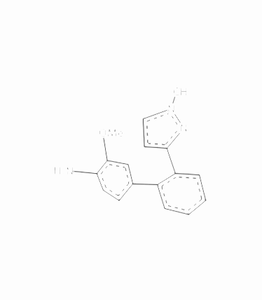 COc1cc(-c2ccccc2-c2ccn(C)n2)ccc1N